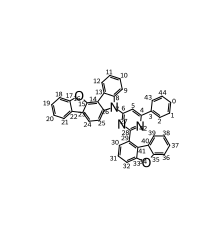 c1ccc(-c2cc(-n3c4ccccc4c4c5oc6ccccc6c5ccc43)nc(-c3cccc4oc5ccccc5c34)n2)cc1